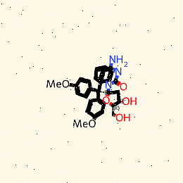 COc1ccc(C(c2ccccc2)(c2ccc(OC)cc2)[C@]2(n3ccc(N)nc3=O)C[C@H](O)[C@@H](CO)O2)cc1